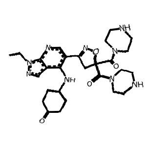 CCn1ncc2c(NC3CCC(=O)CC3)c(C3=NOC(C(=O)N4CCNCC4)(C(=O)N4CCNCC4)C3)cnc21